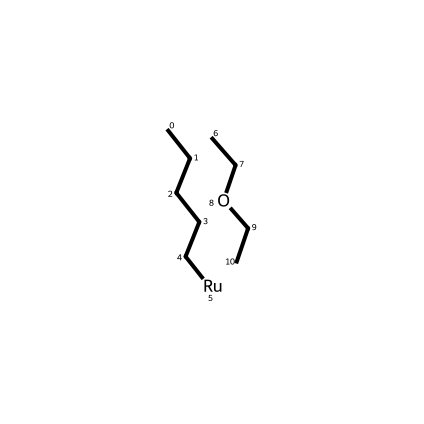 CCCC[CH2][Ru].CCOCC